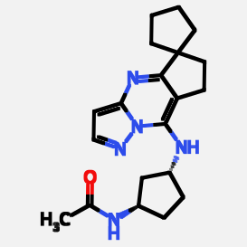 CC(=O)N[C@@H]1CC[C@@H](Nc2c3c(nc4ccnn24)C2(CCCC2)CC3)C1